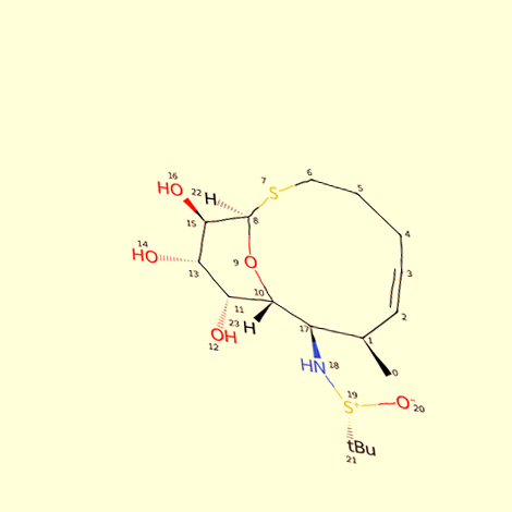 C[C@@H]1/C=C\CCCS[C@H]2O[C@@H]([C@H](O)[C@H](O)[C@H]2O)[C@@H]1N[S@+]([O-])C(C)(C)C